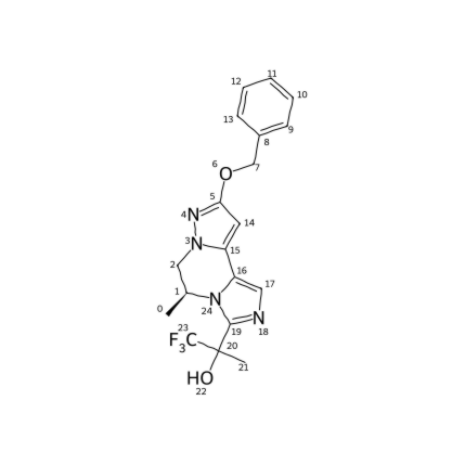 C[C@H]1Cn2nc(OCc3ccccc3)cc2-c2cnc(C(C)(O)C(F)(F)F)n21